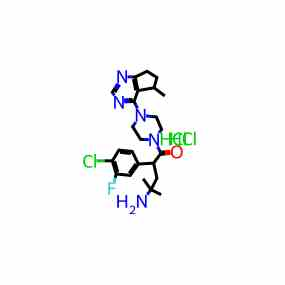 CC1CCc2ncnc(N3CCN(C(=O)C(CC(C)(C)N)c4ccc(Cl)c(F)c4)CC3)c21.Cl.Cl